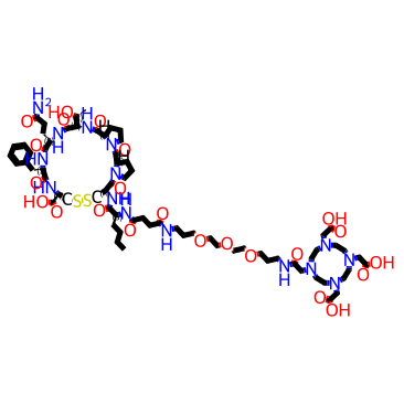 CCCC[C@H](NC(=O)CCC(=O)NCCCOCCOCCOCCCNC(=O)CN1CCN(CC(=O)O)CCN(CC(=O)O)CCN(CC(=O)O)CC1)C(=O)N[C@H]1CSSC[C@@H](C(=O)O)NC(=O)[C@H](Cc2ccccc2)NC(=O)[C@H](CCC(N)=O)NC(=O)[C@H]([C@@H](C)O)NC(=O)[C@@H]2CCCN2C(=O)[C@@H]2CCCN2C1=O